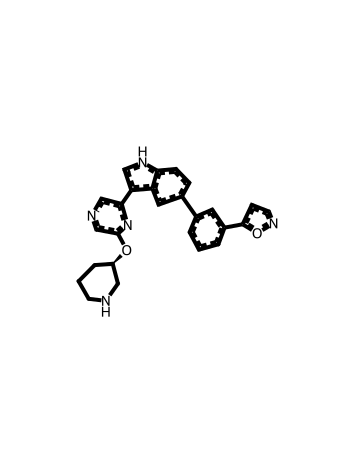 c1cc(-c2ccc3[nH]cc(-c4cncc(O[C@@H]5CCCNC5)n4)c3c2)cc(-c2ccno2)c1